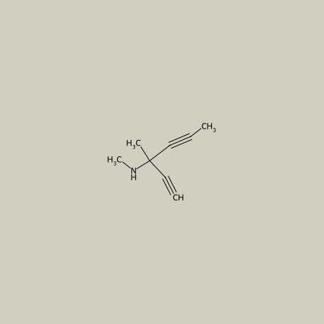 C#CC(C)(C#CC)NC